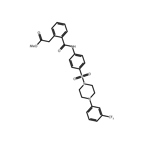 COC(=O)Cc1ccccc1C(=O)Nc1ccc(S(=O)(=O)N2CCN(c3cccc(C(F)(F)F)c3)CC2)cc1